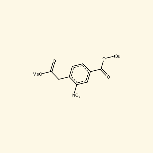 COC(=O)Cc1ccc(C(=O)OC(C)(C)C)cc1[N+](=O)[O-]